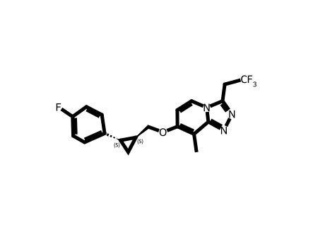 Cc1c(OC[C@H]2C[C@@H]2c2ccc(F)cc2)ccn2c(CC(F)(F)F)nnc12